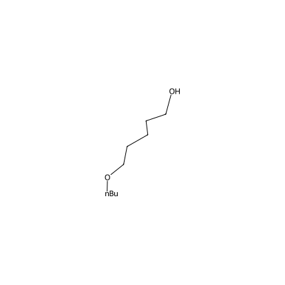 CCCCOCCCCCO